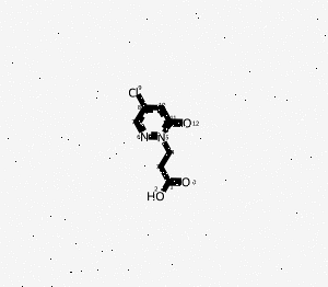 O=C(O)CCn1ncc(Cl)cc1=O